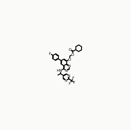 CC(Nc1ncnc2c(OCOC(=O)C3CCCCC3)cc(-c3ccc(F)cc3)cc12)c1cnc(C(F)(F)F)nc1